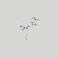 Cl.Cl.NCCCON=C(C(=O)NC1C(=O)N2C(C(=O)O)=C(Cl)CS[C@@H]12)c1csc(N)n1